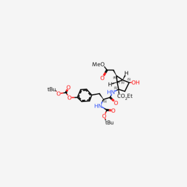 CCOC(=O)[C@]1(NC(=O)[C@H](Cc2ccc(OC(=O)OC(C)(C)C)cc2)NC(=O)OC(C)(C)C)C[C@H](O)[C@H]2[C@H](CC(=O)OC)[C@H]21